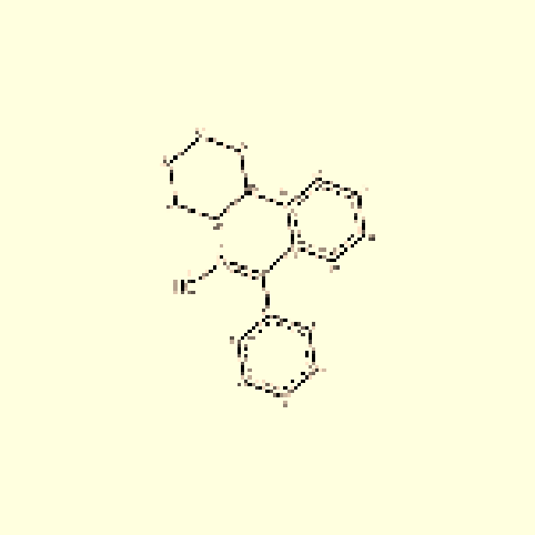 ON=C(c1ccccc1)c1ccccc1C1CCCCC1